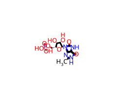 Cc1nc2c([nH]c(=O)n2[C@@H]2O[C@H](COP(=O)(O)O)[C@@H](O)[C@H]2O)c(=O)[nH]1